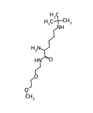 COCCOCCNC(=O)C(N)CCCCNC(C)(C)C